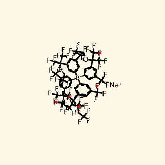 FC(F)(F)COC(c1cc([B-](c2cc(C(F)(F)F)cc(C(OCC(F)(F)F)(C(F)(F)F)C(F)(F)F)c2)(c2cc(C(F)(F)F)cc(C(OCC(F)(F)F)(C(F)(F)F)C(F)(F)F)c2)c2cc(C(F)(F)F)cc(C(OCC(F)(F)F)(C(F)(F)F)C(F)(F)F)c2)cc(C(F)(F)F)c1)(C(F)(F)F)C(F)(F)F.[Na+]